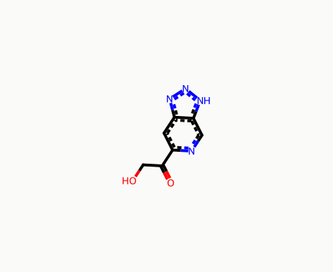 O=C(CO)c1cc2nn[nH]c2cn1